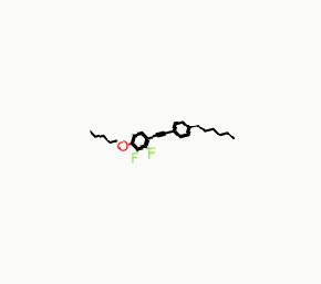 CCCCCCc1ccc(C#Cc2ccc(OCCCCC)c(F)c2F)cc1